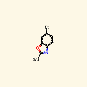 CCc1ccc2nc(C(C)(C)C)oc2c1